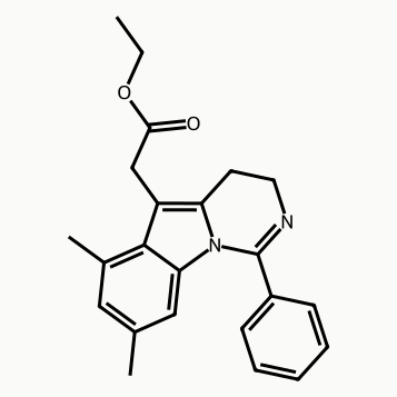 CCOC(=O)Cc1c2n(c3cc(C)cc(C)c13)C(c1ccccc1)=NCC2